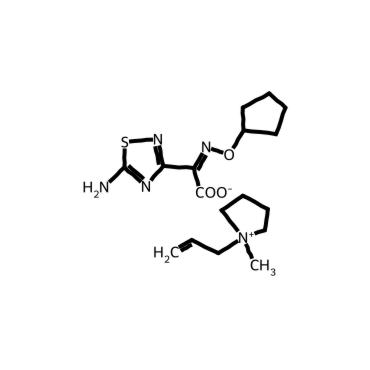 C=CC[N+]1(C)CCCC1.Nc1nc(C(=NOC2CCCC2)C(=O)[O-])ns1